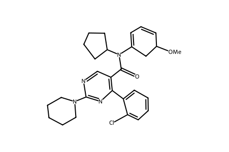 COC1C=CC=C(N(C(=O)c2cnc(N3CCCCC3)nc2-c2ccccc2Cl)C2CCCC2)C1